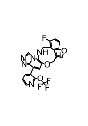 Fc1ccc2c3c1CNc1c(cc(-c4cccnc4OC(F)(F)F)c4nncn14)OC[C@@H]3CO2